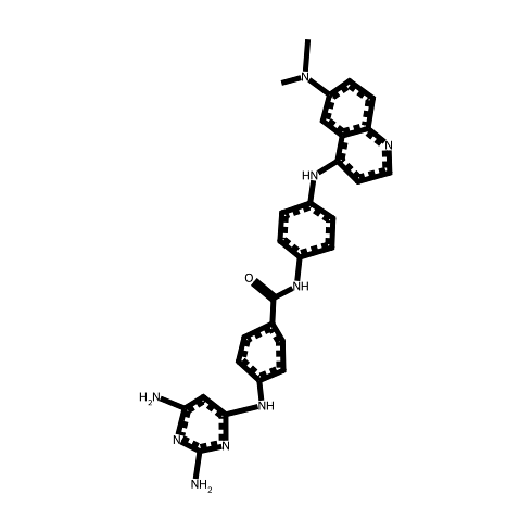 CN(C)c1ccc2nccc(Nc3ccc(NC(=O)c4ccc(Nc5cc(N)nc(N)n5)cc4)cc3)c2c1